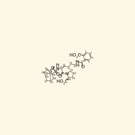 O=C(O)c1ccccc1C(=O)NCCCC[C@H](NS(=O)(=O)C12CC3CC(CC(C3)C1)C2)C(=O)N1CCC[C@H]1C(=O)O